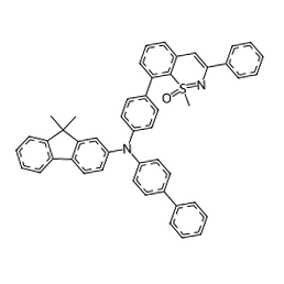 CC1(C)c2ccccc2-c2ccc(N(c3ccc(-c4ccccc4)cc3)c3ccc(-c4cccc5c4S(C)(=O)=NC(c4ccccc4)=C5)cc3)cc21